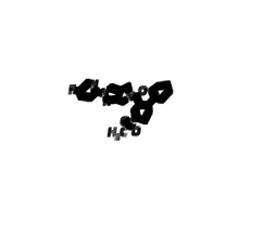 CS(=O)(=O)c1ccc(-c2ccccc2)c(C(=O)N2Cc3cn(-c4ccc(F)cn4)nc3C2)c1